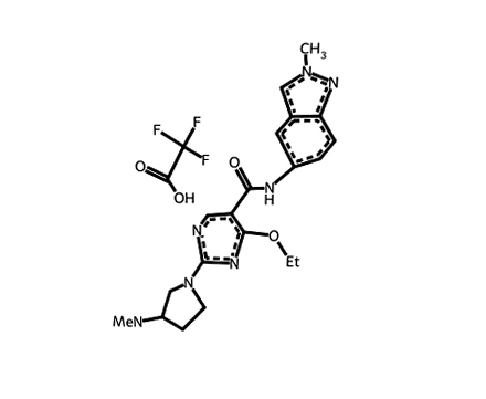 CCOc1nc(N2CCC(NC)C2)ncc1C(=O)Nc1ccc2nn(C)cc2c1.O=C(O)C(F)(F)F